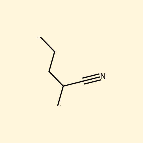 [CH2]CCC([CH2])C#N